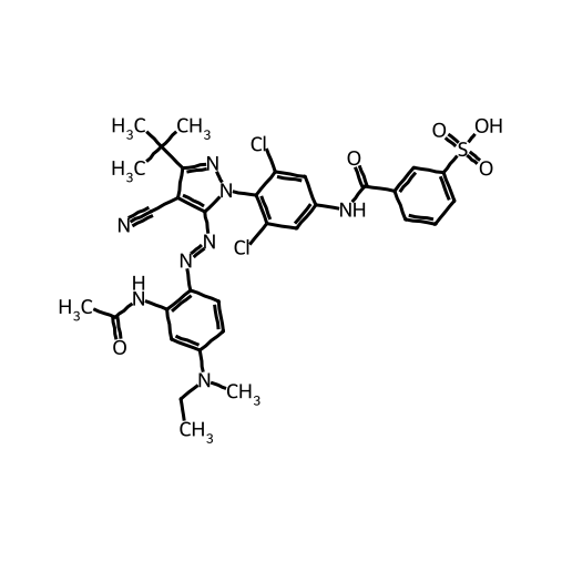 CCN(C)c1ccc(N=Nc2c(C#N)c(C(C)(C)C)nn2-c2c(Cl)cc(NC(=O)c3cccc(S(=O)(=O)O)c3)cc2Cl)c(NC(C)=O)c1